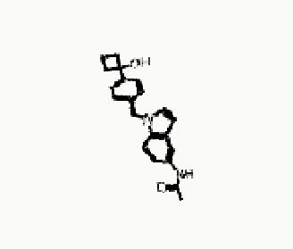 CC(=O)Nc1ccc2c(ccn2Cc2ccc(C3(O)CCC3)cc2)c1